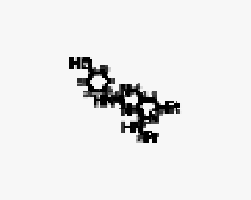 CCc1cc2cnc(N[C@H]3CC[C@H](O)CC3)nc2c(NC(C)C)n1